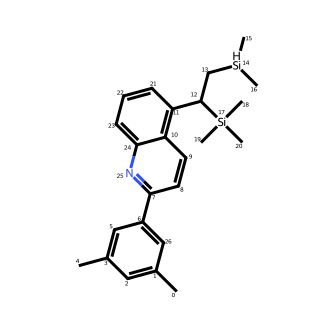 Cc1cc(C)cc(-c2ccc3c(C(C[SiH](C)C)[Si](C)(C)C)cccc3n2)c1